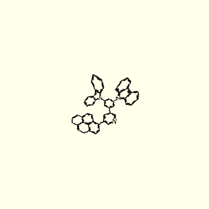 C1=Cc2ccc3c(-c4cncc(-c5cc(-n6c7ccccc7c7ccccc76)cc(-n6c7ccccc7c7ccccc76)c5)c4)ccc4c3c2C(=CC4)C1